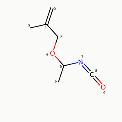 C=C(C)COC(C)N=C=O